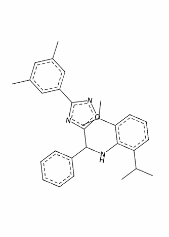 Cc1cc(C)cc(-c2noc(C(Nc3c(C(C)C)cccc3C(C)C)c3ccccc3)n2)c1